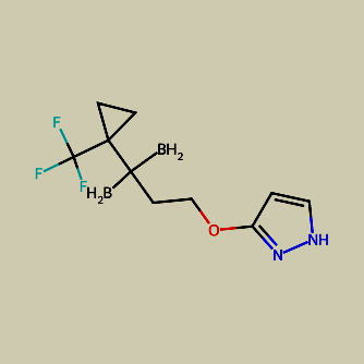 BC(B)(CCOc1cc[nH]n1)C1(C(F)(F)F)CC1